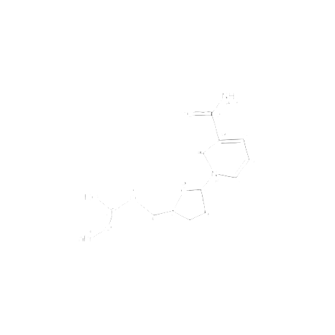 CCCOP(O)OCC1CCC(N2C=CC=C(C(N)=O)C2)O1